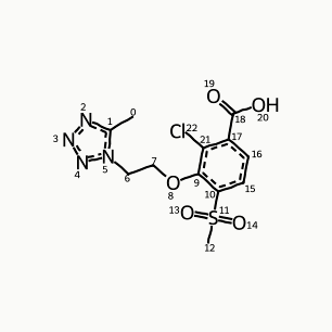 Cc1nnnn1CCOc1c(S(C)(=O)=O)ccc(C(=O)O)c1Cl